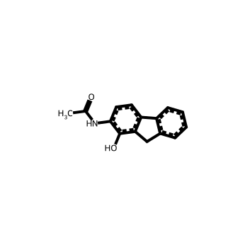 CC(=O)Nc1ccc2c(c1O)Cc1ccccc1-2